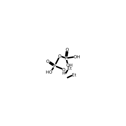 CCC.CCC.O=P(O)(O)OP(=O)(O)O